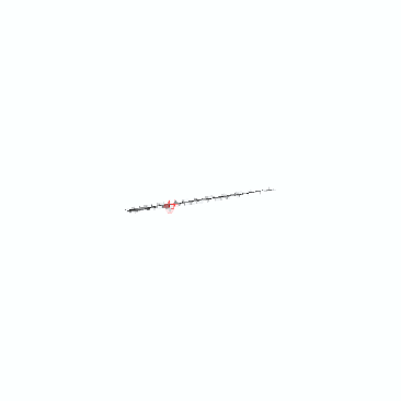 CCCCCCCCCCCCCCCCCCCCCCCCCCCCCCCCCCOC(=O)CCCCCCCCCCCCCC